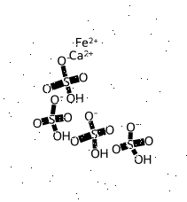 O=S(=O)([O-])O.O=S(=O)([O-])O.O=S(=O)([O-])O.O=S(=O)([O-])O.[Ca+2].[Fe+2]